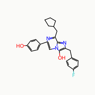 Oc1ccc(-c2cn3c(O)c(Cc4ccc(F)cc4)nc3c(CC3CCCC3)n2)cc1